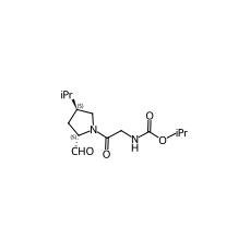 CC(C)OC(=O)NCC(=O)N1C[C@H](C(C)C)C[C@H]1C=O